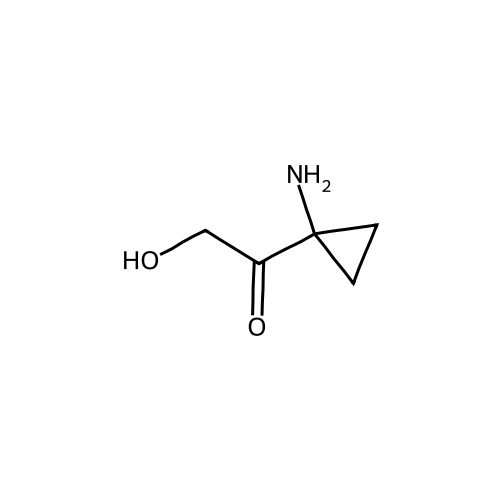 NC1(C(=O)CO)CC1